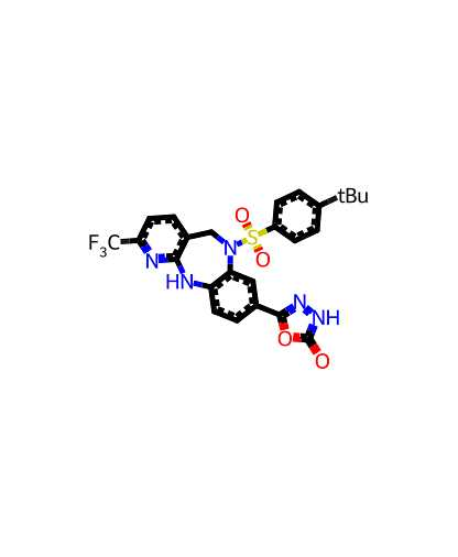 CC(C)(C)c1ccc(S(=O)(=O)N2Cc3ccc(C(F)(F)F)nc3Nc3ccc(-c4n[nH]c(=O)o4)cc32)cc1